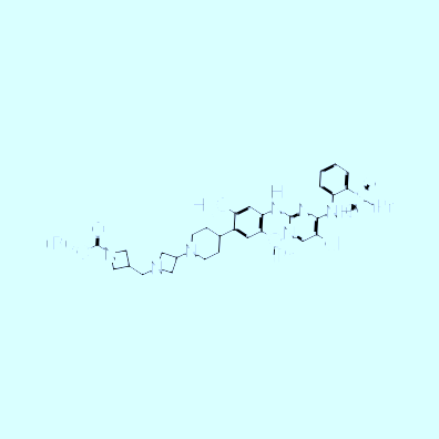 Cc1cc(Nc2ncc(Cl)c(Nc3ccccc3S(=O)(=O)C(C)C)n2)c(OC(C)C)cc1C1CCN(C2CN(CC3CN(C(=O)OC(C)(C)C)C3)C2)CC1